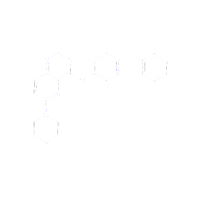 c1ccc(Oc2ccc(Nc3ncnc4ccc(N5CCNCC5)nc34)cn2)cc1